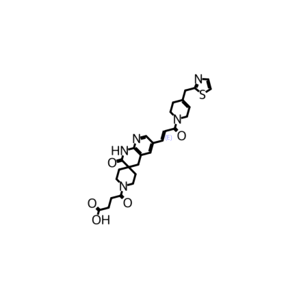 O=C(O)CCC(=O)N1CCC2(CC1)Cc1cc(/C=C/C(=O)N3CC=C(Cc4nccs4)CC3)cnc1NC2=O